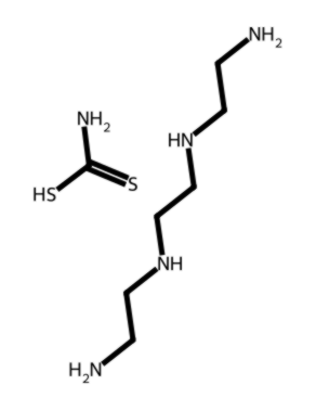 NC(=S)S.NCCNCCNCCN